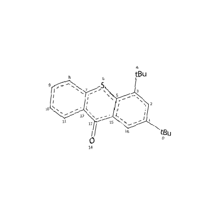 CC(C)(C)c1cc(C(C)(C)C)c2sc3ccccc3c(=O)c2c1